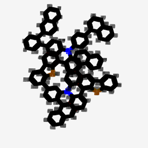 c1ccc(-c2ccc3ccccc3c2)c(-c2ccc(N(c3ccc(-c4cccc5ccccc45)cc3)c3ccccc3-c3cccc4c3sc3c(-c5ccc(-c6cccc7ccccc67)c(N(c6ccc(-c7cccc8ccccc78)cc6)c6ccccc6-c6cccc7c6sc6ccccc67)c5)cccc34)cc2)c1